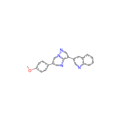 COc1ccc(-c2cnc3c(-c4cnc5ccccc5c4)cnn3c2)cc1